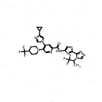 CC(n1cnnc1-c1nc(NC(=O)c2cc(-n3cnc(C4CC4)c3)c(N3CCC(C(F)(F)F)CC3)cn2)cs1)C(F)(F)F